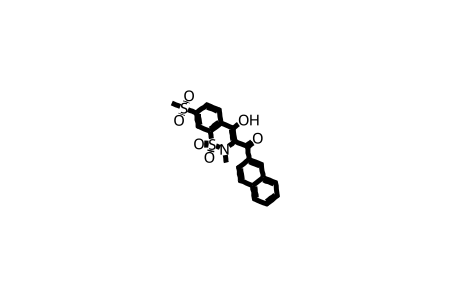 CN1C(C(=O)c2ccc3ccccc3c2)=C(O)c2ccc(S(C)(=O)=O)cc2S1(=O)=O